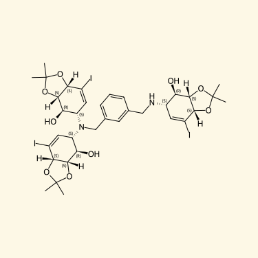 CC1(C)O[C@H]2[C@H](O)[C@@H](NCc3cccc(CN([C@H]4C=C(I)[C@H]5OC(C)(C)O[C@H]5[C@@H]4O)[C@H]4C=C(I)[C@H]5OC(C)(C)O[C@H]5[C@@H]4O)c3)C=C(I)[C@H]2O1